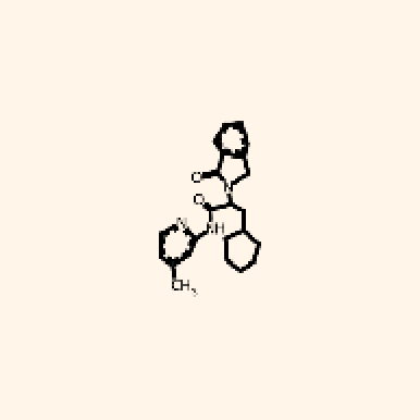 Cc1ccnc(NC(=O)C(CC2CCCCC2)N2Cc3ccccc3C2=O)c1